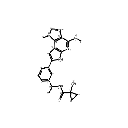 CNc1nc2[nH]c(-c3cccc(C(C)NC(=O)C4(O)CC4)c3)cc2c2c1ncn2C